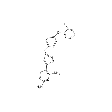 Nc1ccc(-c2cc(Cc3ccc(Oc4ccccc4F)cc3)no2)c(N)n1